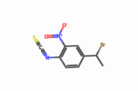 CC(Br)c1ccc(N=C=S)c([N+](=O)[O-])c1